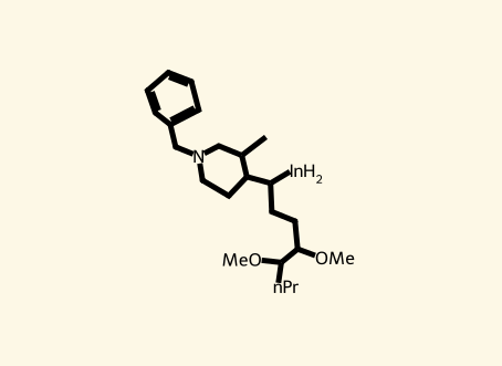 CCCC(OC)C(CC[CH]([InH2])C1CCN(Cc2ccccc2)CC1C)OC